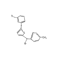 Cc1ccc(C(Br)c2ccc(-c3cccc(F)c3)s2)cc1